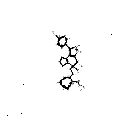 C[C@H]1C2=C(C3=C(CCC3)C1(O)CCc1ccccc1CO)C(c1ccc(F)cc1)N=N2